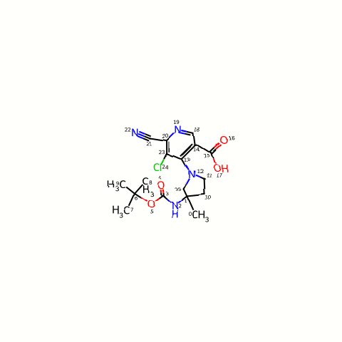 CC1(NC(=O)OC(C)(C)C)CCN(c2c(C(=O)O)cnc(C#N)c2Cl)C1